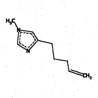 C=CCCCc1cn(C)cn1